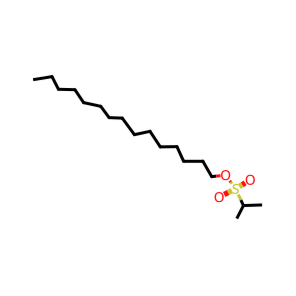 CCCCCCCCCCCCCCCOS(=O)(=O)C(C)C